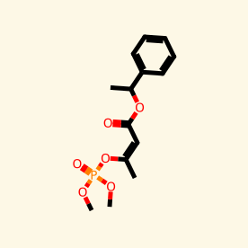 COP(=O)(OC)OC(C)=CC(=O)OC(C)c1ccccc1